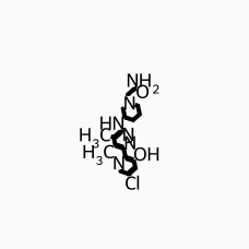 Cc1c(NC2CCCN(CC(N)=O)C2)nnc(-c2ncc(Cl)cc2O)c1C